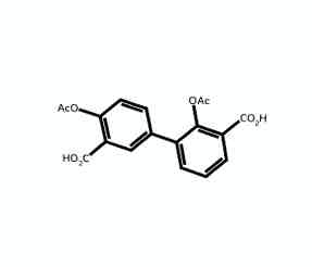 CC(=O)Oc1ccc(-c2cccc(C(=O)O)c2OC(C)=O)cc1C(=O)O